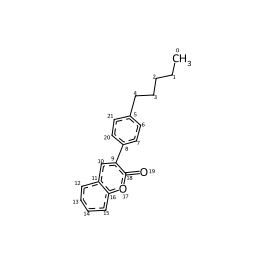 CCCCCc1ccc(-c2cc3ccccc3oc2=O)cc1